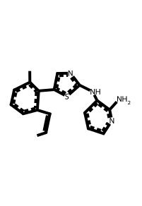 C/C=C\c1cccc(C)c1-c1cnc(Nc2cccnc2N)s1